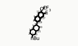 CCCCC1CCC2CC(c3ccc4cc(OC(F)(F)F)c(F)cc4c3)CCC2C1